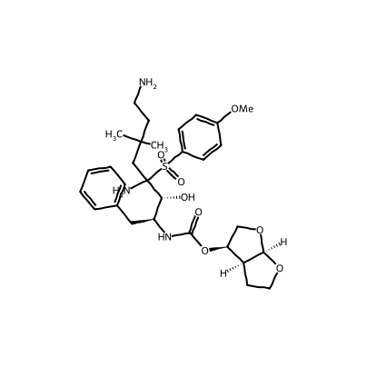 COc1ccc(S(=O)(=O)C(N)(CC(C)(C)CCN)[C@H](O)[C@H](Cc2ccccc2)NC(=O)O[C@H]2CO[C@H]3OCC[C@H]32)cc1